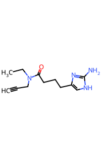 C#CCN(CC)C(=O)CCCc1c[nH]c(N)n1